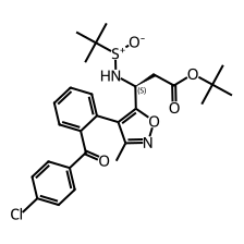 Cc1noc([C@H](CC(=O)OC(C)(C)C)N[S+]([O-])C(C)(C)C)c1-c1ccccc1C(=O)c1ccc(Cl)cc1